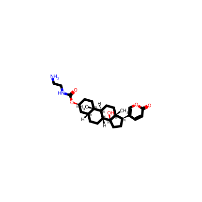 C[C@]12CC[C@H](OC(=O)NCCN)C[C@H]1CC[C@@H]1[C@@H]2CC[C@]2(C)[C@@H](c3ccc(=O)oc3)CC[C@]12O